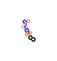 O=C(CN1CCCC1=O)N1CCN(S(=O)(=O)c2ccc3ccccc3c2)CC1